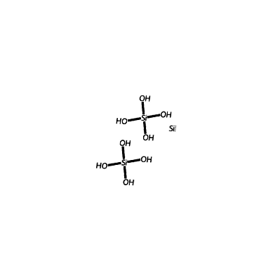 O[Si](O)(O)O.O[Si](O)(O)O.[Si]